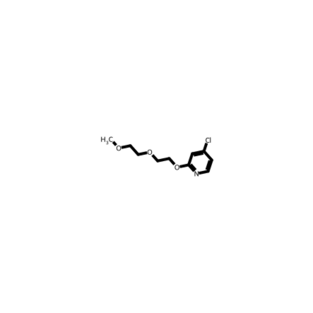 COCCOCCOc1cc(Cl)ccn1